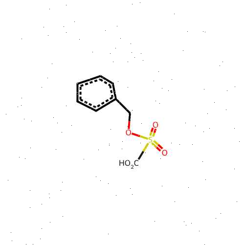 O=C(O)S(=O)(=O)OCc1ccccc1